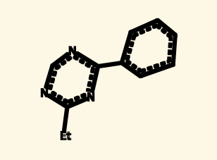 CCc1ncnc(-c2ccccc2)n1